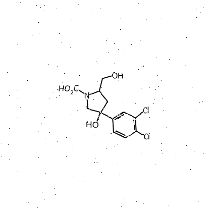 O=C(O)N1CC(O)(c2ccc(Cl)c(Cl)c2)CC1CO